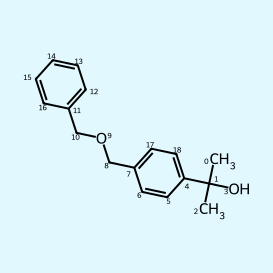 CC(C)(O)c1ccc(COCc2ccccc2)cc1